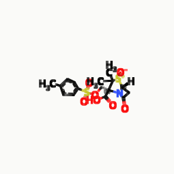 Cc1ccc(S(=O)(=O)OC[C@@]2(C(=O)O)N3C(=O)C[C@H]3[S+]([O-])C2(C)C)cc1